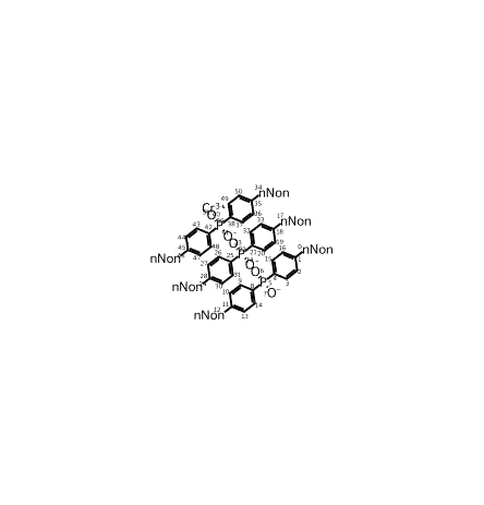 CCCCCCCCCc1ccc(P(=O)([O-])c2ccc(CCCCCCCCC)cc2)cc1.CCCCCCCCCc1ccc(P(=O)([O-])c2ccc(CCCCCCCCC)cc2)cc1.CCCCCCCCCc1ccc(P(=O)([O-])c2ccc(CCCCCCCCC)cc2)cc1.[Cr+3]